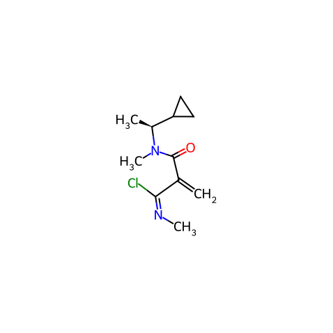 C=C(C(=O)N(C)[C@@H](C)C1CC1)/C(Cl)=N\C